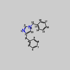 [c]1nc(Cc2ccccc2)cn1Cc1ccccc1